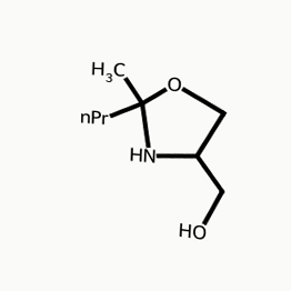 CCCC1(C)NC(CO)CO1